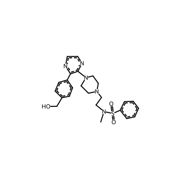 CN(CCN1CCN(c2nccnc2-c2ccc(CO)cc2)CC1)S(=O)(=O)c1ccccc1